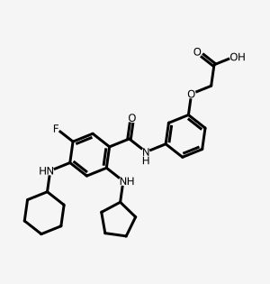 O=C(O)COc1cccc(NC(=O)c2cc(F)c(NC3CCCCC3)cc2NC2CCCC2)c1